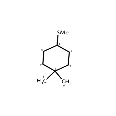 CSC1CCC(C)(C)CC1